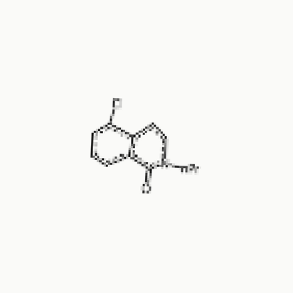 CCCn1ccc2c(Cl)cccc2c1=O